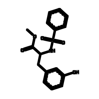 COC(=O)C(Cc1cccc(O)c1)NS(=O)(=O)c1ccccc1